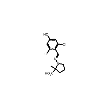 CC1(C(=O)O)CCCN1N=Cc1c(Cl)cc(O)cc1Cl